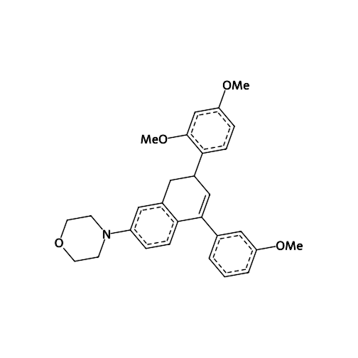 COc1cccc(C2=CC(c3ccc(OC)cc3OC)Cc3cc(N4CCOCC4)ccc32)c1